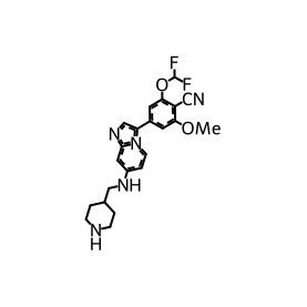 COc1cc(-c2cnc3cc(NCC4CCNCC4)ccn23)cc(OC(F)F)c1C#N